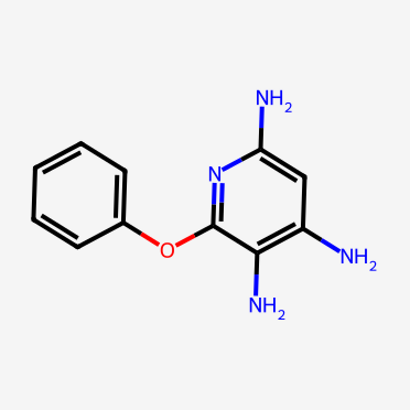 Nc1cc(N)c(N)c(Oc2ccccc2)n1